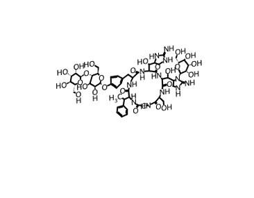 CC(c1ccccc1)C1NC(=O)CNC(=O)C(CO)NC(=O)C(C(O)C2CNC(=N)N2[C@H]2O[C@H](CO)[C@@H](O)[C@H](O)[C@@H]2O)NC(=O)C(C(O)C2CNC(=N)N2)NC(=O)C(Cc2ccc(O[C@H]3O[C@H](CO)[C@@H](O[C@H]4O[C@H](CO)[C@@H](O)[C@H](O)[C@@H]4O)[C@H](O)[C@@H]3O)cc2)NC1=O